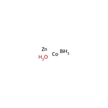 O.[BiH3].[Co].[Zn]